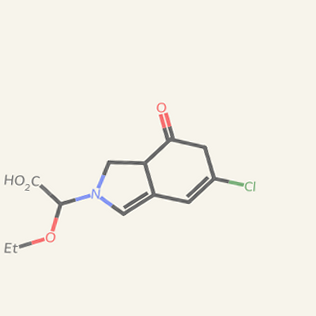 CCOC(C(=O)O)N1C=C2C=C(Cl)CC(=O)C2C1